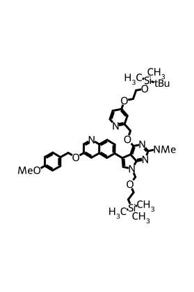 CNc1nc(OCc2cc(OCCO[Si](C)(C)C(C)(C)C)ccn2)c2c(-c3ccc4ncc(OCc5ccc(OC)cc5)cc4c3)cn(COCC[Si](C)(C)C)c2n1